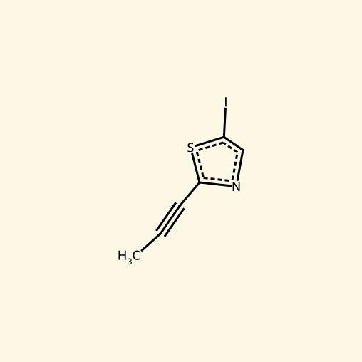 CC#Cc1ncc(I)s1